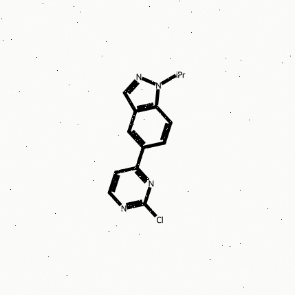 CC(C)n1ncc2cc(-c3ccnc(Cl)n3)ccc21